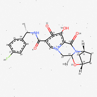 C[C@H](NC(=O)c1cn2c(c(O)c1=O)C(=O)N1[C@@H]3CC[C@@H](C3)O[C@H]1C2)c1ccc(F)cc1